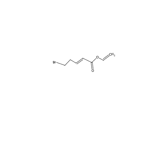 C=COC(=O)C=CCCBr